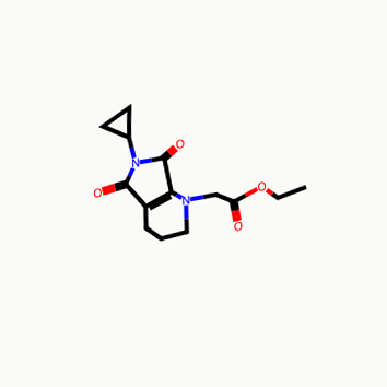 CCOC(=O)CN1CCCC2=C1C(=O)N(C1CC1)C2=O